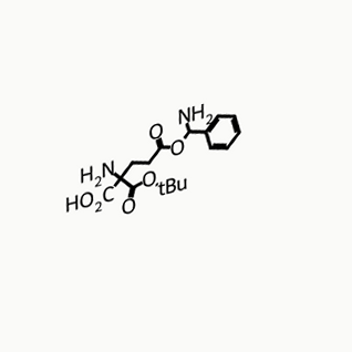 CC(C)(C)OC(=O)C(N)(CCC(=O)OC(N)c1ccccc1)C(=O)O